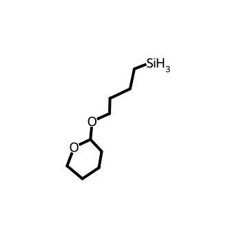 [SiH3]CCCCOC1CCCCO1